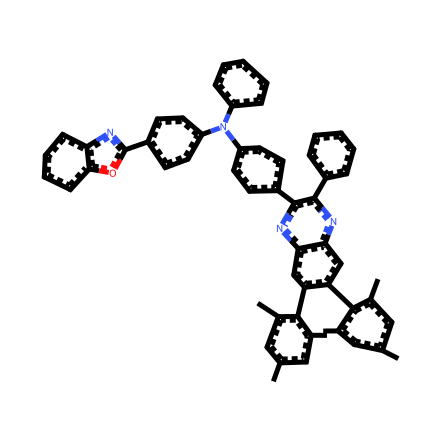 Cc1cc(C)c(-c2cc3nc(-c4ccccc4)c(-c4ccc(N(c5ccccc5)c5ccc(-c6nc7ccccc7o6)cc5)cc4)nc3cc2-c2c(C)cc(C)cc2C)c(C)c1